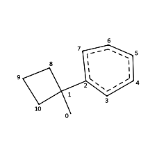 CC1(c2ccccc2)CCC1